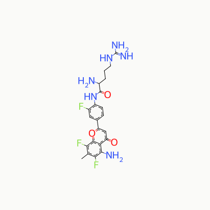 Cc1c(F)c(N)c2c(=O)cc(-c3ccc(NC(=O)C(N)CCCNC(=N)N)c(F)c3)oc2c1F